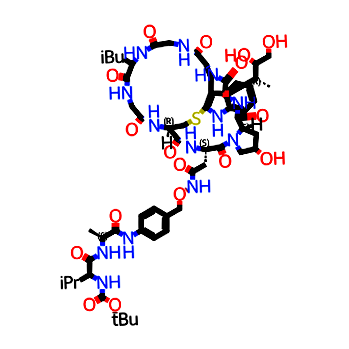 CCC(C)C1NC(=O)CNC(=O)C2Cc3c([nH]c4ccccc34)SC[C@H](NC(=O)CNC1=O)C(=O)N[C@@H](CC(=O)NOCc1ccc(NC(=O)[C@H](C)NC(=O)C(NC(=O)OC(C)(C)C)C(C)C)cc1)C(=O)N1CC(O)C[C@H]1C(=O)NC([C@@H](C)C(O)CO)C(=O)N2